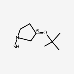 CC(C)(C)O[C@@H]1CCN(S)C1